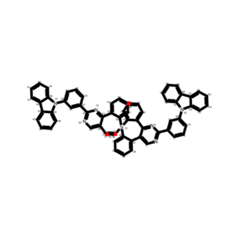 c1cc(-c2ncc3c(n2)-c2ccccc2[Si]2(c4ccccc4-3)c3ccccc3-c3cnc(-c4cccc(-n5c6ccccc6c6ccccc65)c4)nc3-c3ccccc32)cc(-n2c3ccccc3c3ccccc32)c1